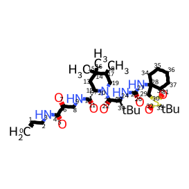 C=CCNC(=O)C(=O)CNC(=O)[C@@H]1CC(C)(C)C(C)CN1C(=O)[C@@H](NC(=O)NC1(CS(=O)(=O)C(C)(C)C)CCCCC1)C(C)(C)C